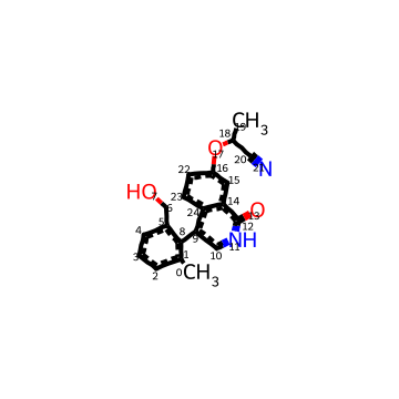 Cc1cccc(CO)c1-c1c[nH]c(=O)c2cc(OC(C)C#N)ccc12